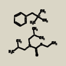 CCSC(=O)N(CC(C)C)CC(C)C.C[N+](C)(C)Cc1ccccc1